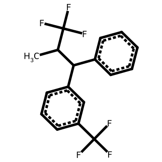 CC(C(c1ccccc1)c1cccc(C(F)(F)F)c1)C(F)(F)F